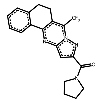 O=C(c1cc2nc3c(c(C(F)(F)F)n2n1)CCc1ccccc1-3)N1CCCC1